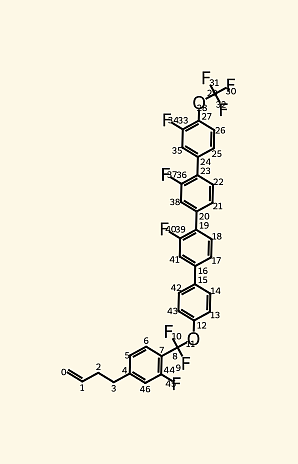 C=CCCc1ccc(C(F)(F)Oc2ccc(-c3ccc(-c4ccc(-c5ccc(OC(F)(F)F)c(F)c5)c(F)c4)c(F)c3)cc2)c(F)c1